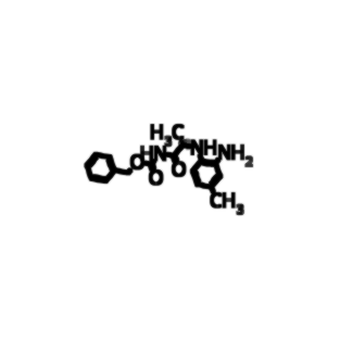 Cc1ccc(N[C@@H](C)C(=O)NC(=O)OCc2ccccc2)c(N)c1